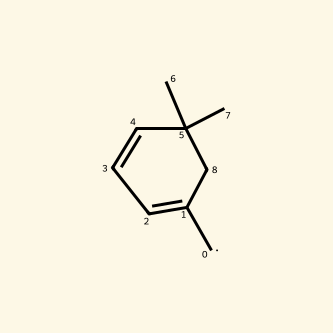 [CH2]C1=CC=CC(C)(C)C1